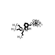 CCC[CH2][Sn]([CH2]CCC)([CH2]CCC)[c]1n[nH]c2c(CO[Si](C)(C)C(C)(C)C)cccc12